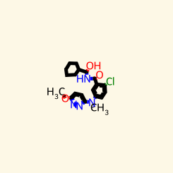 COc1ccc(N(C)c2ccc(Cl)c(C(=O)NC(O)C3CCCCC3)c2)nn1